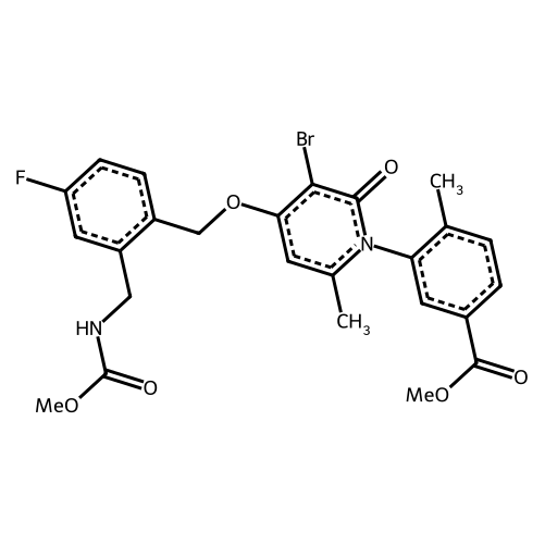 COC(=O)NCc1cc(F)ccc1COc1cc(C)n(-c2cc(C(=O)OC)ccc2C)c(=O)c1Br